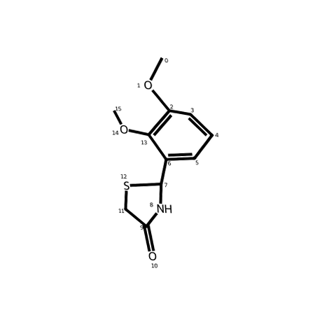 COc1cccc(C2NC(=O)CS2)c1OC